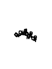 COc1cc2c(=O)n(COC(=O)C(C)(C)C)cnc2cc1OCC(O)CN1CCCCC1